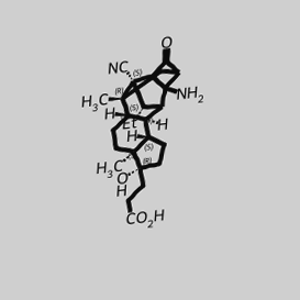 CC[C@H]1C2[C@H]3[C@@H]4CC[C@@](O)(CCC(=O)O)[C@@]4(C)CC[C@@H]3[C@@]3(C)CC4C(=O)C(C42N)[C@@]13C#N